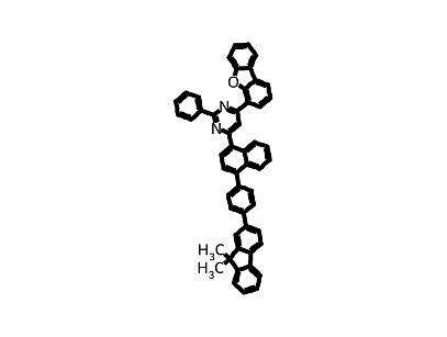 CC1(C)c2ccccc2-c2ccc(-c3ccc(-c4ccc(-c5cc(-c6cccc7c6oc6ccccc67)nc(-c6ccccc6)n5)c5ccccc45)cc3)cc21